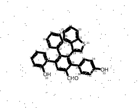 O=Cc1cc(-c2ccccc2O)c(-c2ccccc2)c(-c2csc3ccccc23)c1-c1ccc(O)cc1